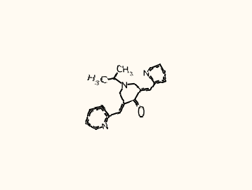 CC(C)N1C/C(=C\c2ccccn2)C(=O)/C(=C/c2ccccn2)C1